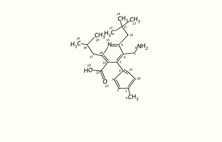 Cc1ccc(-c2c(CN)c(CC(C)(C)C)nc(CC(C)C)c2C(=O)O)cc1